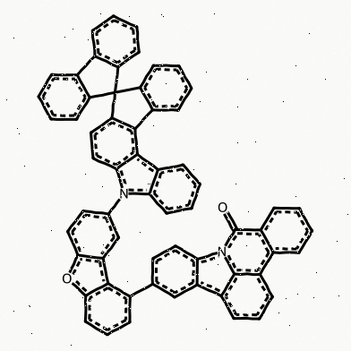 O=c1c2ccccc2c2cccc3c4cc(-c5cccc6oc7ccc(-n8c9ccccc9c9c%10c(ccc98)C8(c9ccccc9-c9ccccc98)c8ccccc8-%10)cc7c56)ccc4n1c23